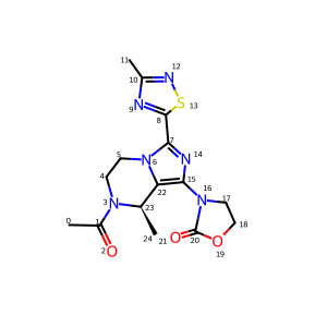 CC(=O)N1CCn2c(-c3nc(C)ns3)nc(N3CCOC3=O)c2[C@H]1C